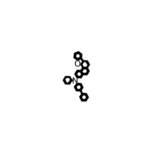 C1=CCCC(N(c2ccc(-c3ccccc3)cc2)c2ccc3c4c(ccc3c2)C=CC2c3ccccc3OC42)=C1